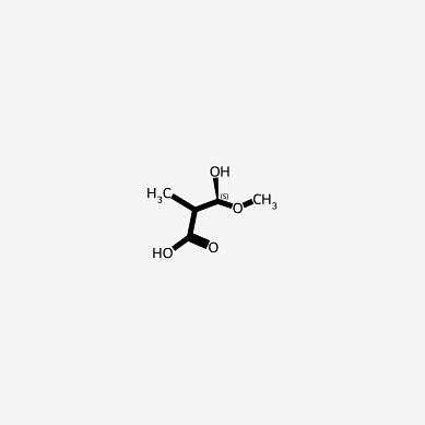 CO[C@H](O)C(C)C(=O)O